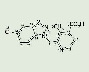 Cc1c(C(=O)O)ccnc1Cn1ncc2cc(Cl)ccc21